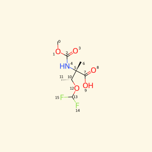 COC(=O)N[C@](C)(C(=O)O)[C@@H](C)OC(F)F